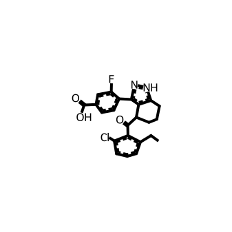 CCc1cccc(Cl)c1C(=O)C1CCCc2[nH]nc(-c3ccc(C(=O)O)cc3F)c21